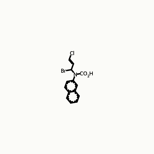 O=C(O)N(c1ccc2ccccc2c1)C(Br)C=CCl